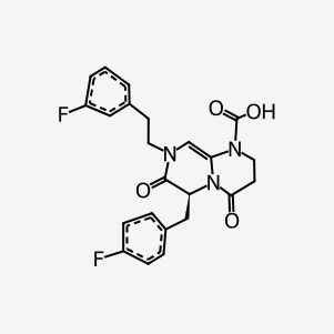 O=C1[C@H](Cc2ccc(F)cc2)N2C(=O)CCN(C(=O)O)C2=CN1CCc1cccc(F)c1